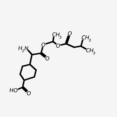 CC(C)CC(=O)OC(C)OC(=O)C(N)C1CCC(C(=O)O)CC1